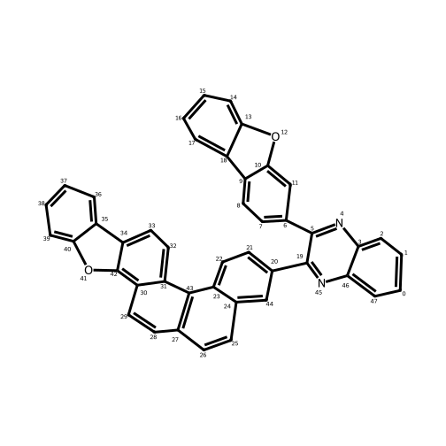 c1ccc2nc(-c3ccc4c(c3)oc3ccccc34)c(-c3ccc4c(ccc5ccc6c(ccc7c8ccccc8oc76)c54)c3)nc2c1